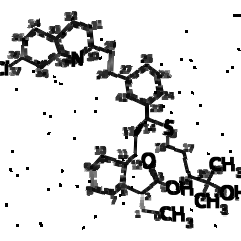 CC[C@@H](C(=O)O)c1ccccc1CC[C@H](SCCCC(C)(C)O)c1cccc(C=Cc2ccc3ccc(Cl)cc3n2)c1